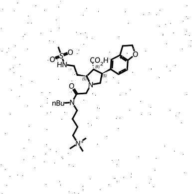 CCCCN(CCCC[N+](C)(C)C)C(=O)CN1C[C@H](c2ccc3c(c2)CCO3)[C@@H](C(=O)O)[C@@H]1CCNS(C)(=O)=O